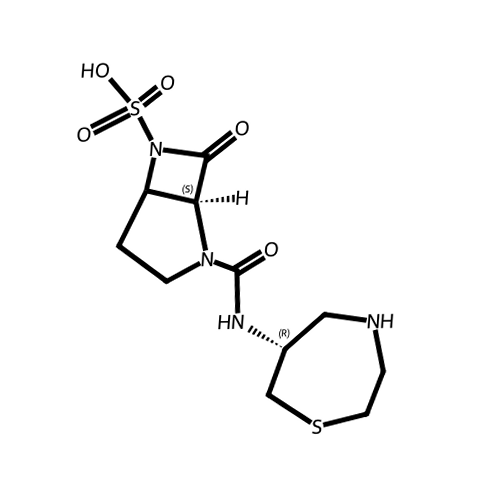 O=C(N[C@@H]1CNCCSC1)N1CCC2[C@H]1C(=O)N2S(=O)(=O)O